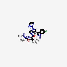 CN[C@@H](C)C(=O)N[C@H](C(=O)N1CC[C@@H]2[C@H]1[C@@H](c1c[nH]c3cc(F)ccc13)CN2c1ncccn1)C(C)(C)C